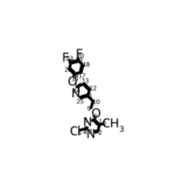 Cc1cnc(Cl)nc1OCCc1ccc(Oc2ccc(F)c(F)c2)nc1